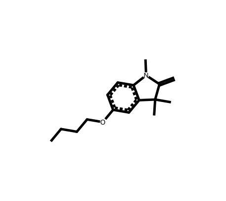 C=C1N(C)c2ccc(OCCCC)cc2C1(C)C